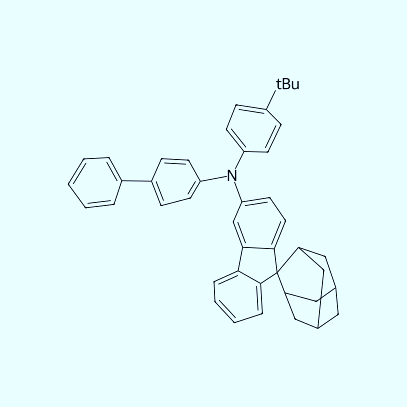 CC(C)(C)c1ccc(N(c2ccc(-c3ccccc3)cc2)c2ccc3c(c2)-c2ccccc2C32C3CC4CC(C3)CC2C4)cc1